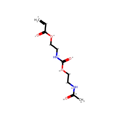 C=CC(=O)OCCNC(=O)OCCNC(C)=O